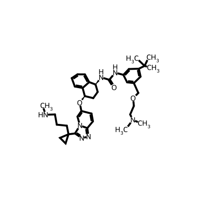 CNCCCC1(c2nnc3ccc(O[C@@H]4CC[C@H](NC(=O)Nc5cc(COCCN(C)C)cc(C(C)(C)C)c5)c5ccccc54)cn23)CC1